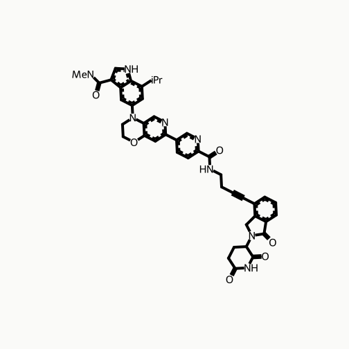 CNC(=O)c1c[nH]c2c(C(C)C)cc(N3CCOc4cc(-c5ccc(C(=O)NCCC#Cc6cccc7c6CN(C6CCC(=O)NC6=O)C7=O)nc5)ncc43)cc12